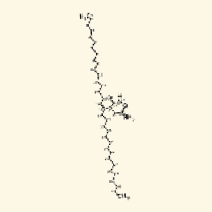 CCCCCCCCCCCCCCCCC=C(CCCCCCCCCCCCCCCC)C(CC(N)=O)C(N)=O